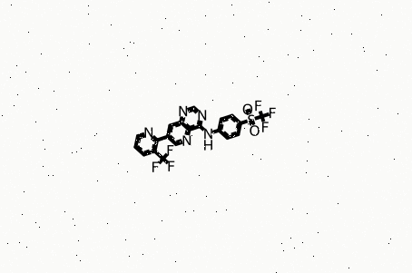 O=S(=O)(c1ccc(Nc2ncnc3cc(-c4ncccc4C(F)(F)F)cnc23)cc1)C(F)(F)F